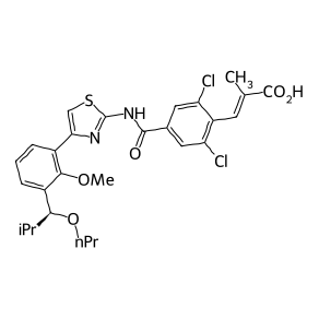 CCCO[C@H](c1cccc(-c2csc(NC(=O)c3cc(Cl)c(/C=C(\C)C(=O)O)c(Cl)c3)n2)c1OC)C(C)C